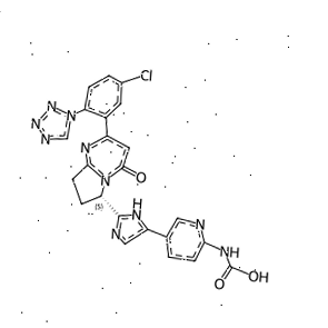 O=C(O)Nc1ccc(-c2cnc([C@@H]3CCc4nc(-c5cc(Cl)ccc5-n5cnnn5)cc(=O)n43)[nH]2)cn1